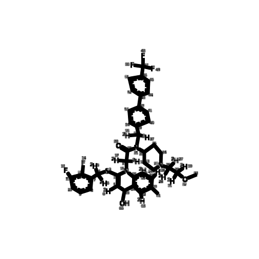 [2H]C1=C(SC([2H])([2H])c2cccc(F)c2F)N(C([2H])([2H])C(=O)N(C2CCN(C([2H])([2H])C([2H])([2H])OC)CC2)C([2H])([2H])c2ccc(-c3ccc(C(F)(F)F)cc3)cc2)c2c([2H])c([2H])c(C)c([2H])c2C1O